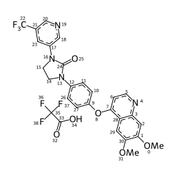 COc1cc2nccc(Oc3ccc(N4CCN(c5cncc(C(F)(F)F)c5)C4=O)cc3)c2cc1OC.O=C(O)C(F)(F)F